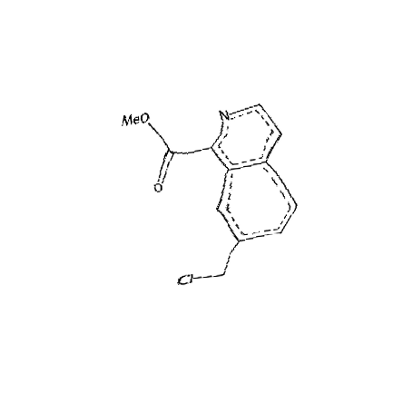 COC(=O)c1nccc2ccc(CCl)cc12